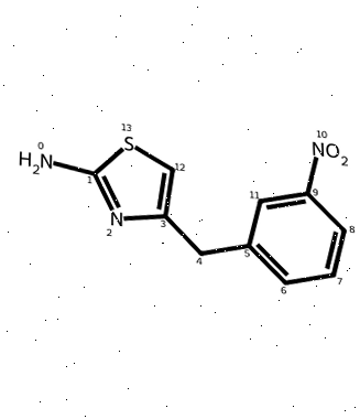 Nc1nc(Cc2cccc([N+](=O)[O-])c2)cs1